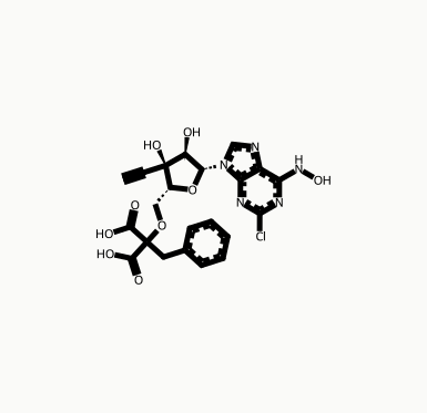 C#C[C@@]1(O)[C@@H](COC(Cc2ccccc2)(C(=O)O)C(=O)O)O[C@@H](n2cnc3c(NO)nc(Cl)nc32)[C@@H]1O